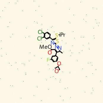 COC(=O)c1c(-c2cc(F)cc(OC3COC3)c2)c(C)nn1-c1nc(-c2ccc(Cl)c(Cl)c2)c(SC(C)C)s1